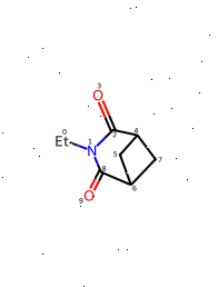 CCN1C(=O)C2CC(C2)C1=O